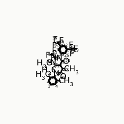 Cc1cccc(C)c1N(C)C(=O)C(C)C(CN(C)CC(F)F)C(=O)Nc1cc(C(F)(F)F)cc(C(F)(F)F)c1